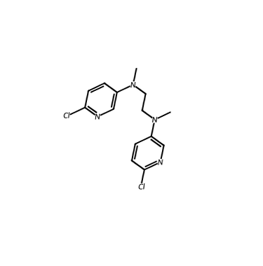 CN(CCN(C)c1ccc(Cl)nc1)c1ccc(Cl)nc1